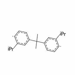 CC(C)c1[c]ccc(C(C)(C)c2cc[c]c(C(C)C)c2)c1